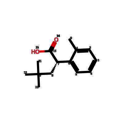 Cc1ccccc1[C@H](CC(C)(C)C)C(=O)O